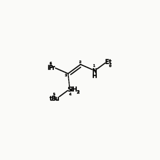 CCNC=C([SiH2]C(C)(C)C)C(C)C